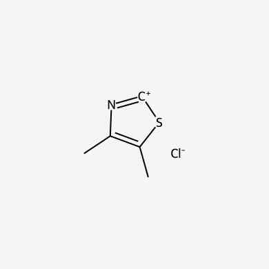 CC1=C(C)S[C+]=N1.[Cl-]